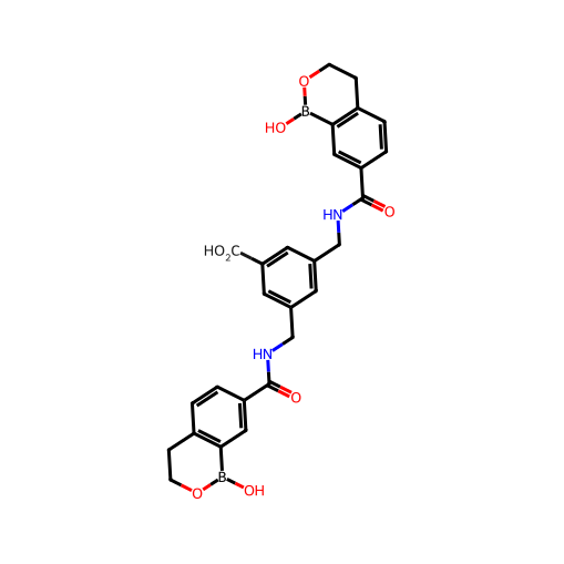 O=C(O)c1cc(CNC(=O)c2ccc3c(c2)B(O)OCC3)cc(CNC(=O)c2ccc3c(c2)B(O)OCC3)c1